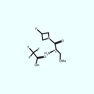 COC[C@@H](N)C(=O)N1CC(F)C1.O=C(O)C(F)(F)F